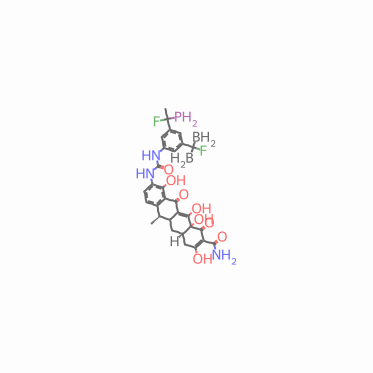 BC(B)(F)c1cc(NC(=O)Nc2ccc3c(c2O)C(=O)C2=C(O)[C@]4(O)C(=O)C(C(N)=O)=C(O)C[C@@H]4CC2[C@H]3C)cc(C(C)(F)P)c1